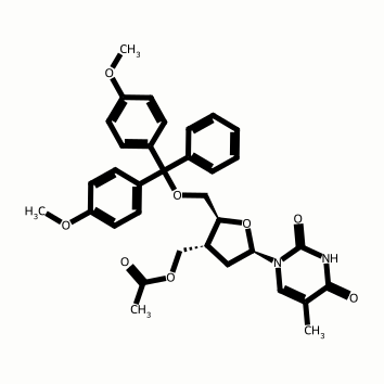 COc1ccc(C(OC[C@H]2O[C@@H](n3cc(C)c(=O)[nH]c3=O)C[C@@H]2COC(C)=O)(c2ccccc2)c2ccc(OC)cc2)cc1